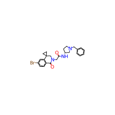 O=C(CN1CC2(CC2)c2cc(Br)ccc2C1=O)N[C@@H]1CCN(Cc2ccccc2)C1